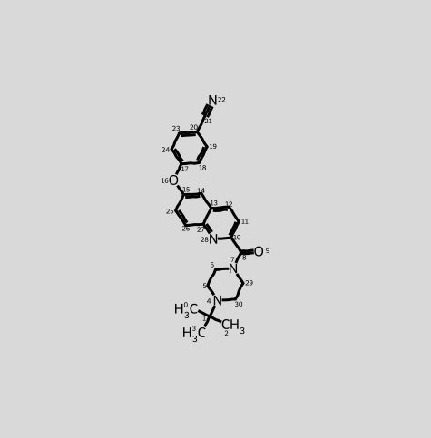 CC(C)(C)N1CCN(C(=O)c2ccc3cc(Oc4ccc(C#N)cc4)ccc3n2)CC1